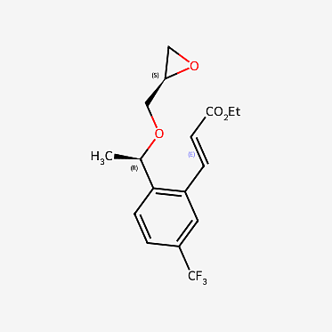 CCOC(=O)/C=C/c1cc(C(F)(F)F)ccc1[C@@H](C)OC[C@H]1CO1